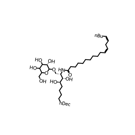 CCCC/C=C\C/C=C\CCCCCCCCCC(=O)N[C@@H](COC1OC(CO)C(O)C(O)[C@@H]1O)[C@H](O)[C@H](O)CCCCCCCCCCCCCC